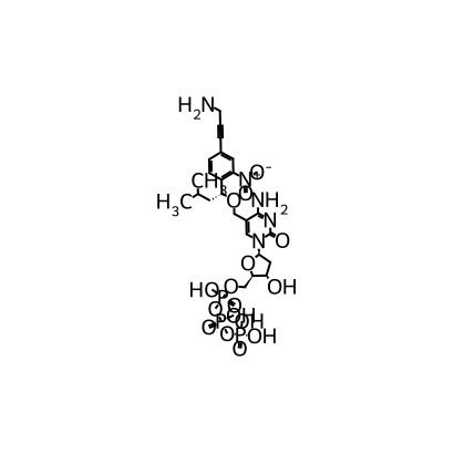 CC(C)C[C@@H](OCc1cn([C@H]2C[C@@H](O)[C@@H](COP(=O)(O)OP(=O)(O)OP(=O)(O)O)O2)c(=O)nc1N)c1ccc(C#CCN)cc1[N+](=O)[O-]